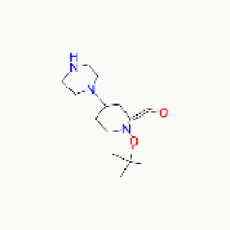 CC(C)(C)ON1CCC(N2CCNCC2)CC1=C=O